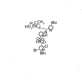 CC(C)(C)c1ccnc(C(CC[C@@H]2CN(C(=O)O)C(C)(C)C2)Nc2cccc(S(=O)(=O)NC(=O)c3cc(Br)c(C(C)(C)C)nc3Cl)n2)c1